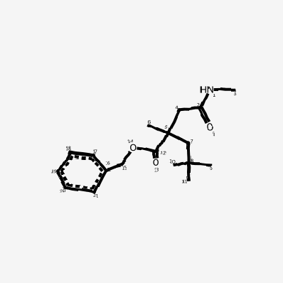 CNC(=O)CC(C)(CC(C)(C)C)C(=O)OCc1ccccc1